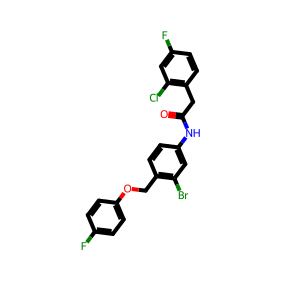 O=C(Cc1ccc(F)cc1Cl)Nc1ccc(COc2ccc(F)cc2)c(Br)c1